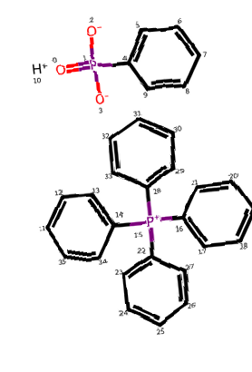 O=P([O-])([O-])c1ccccc1.[H+].c1ccc([P+](c2ccccc2)(c2ccccc2)c2ccccc2)cc1